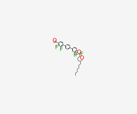 CCCCCCCC1CCC(C(F)(F)Oc2ccc(-c3ccc(-c4ccc(C5CO5)c(F)c4F)cc3)cc2F)OC1